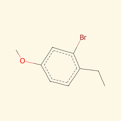 CCc1ccc(OC)cc1Br